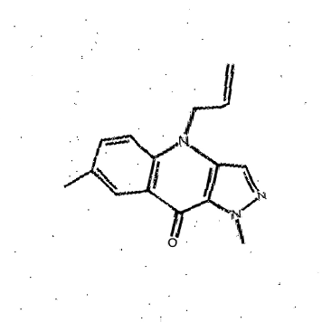 C=CCn1c2ccc(C)cc2c(=O)c2c1cnn2C